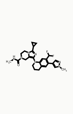 CNC(=O)N1CCn2c(C3CC3)nc(N3CCCc4cc(-c5cnn(C)c5)c(C(F)F)cc43)c2C1